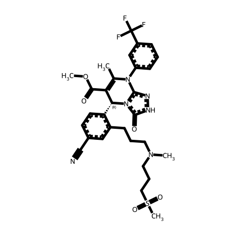 COC(=O)C1=C(C)N(c2cccc(C(F)(F)F)c2)c2n[nH]c(=O)n2[C@@H]1c1ccc(C#N)cc1CCCN(C)CCCS(C)(=O)=O